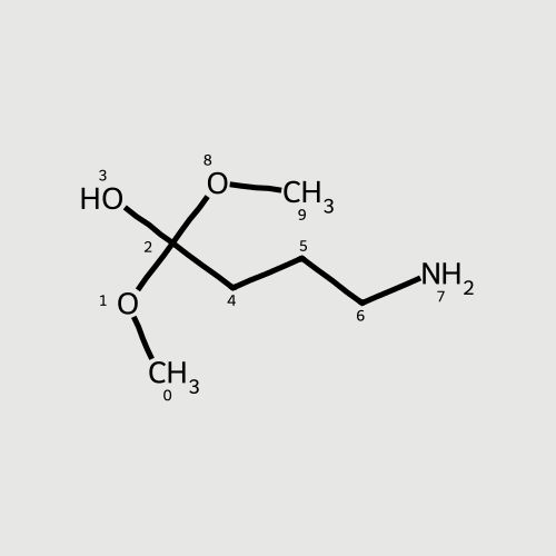 COC(O)(CCCN)OC